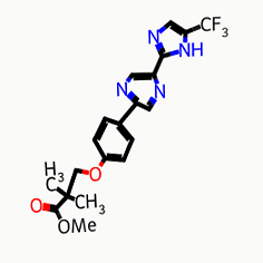 COC(=O)C(C)(C)COc1ccc(-c2cnc(-c3ncc(C(F)(F)F)[nH]3)cn2)cc1